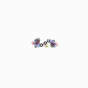 [2H]C([2H])([2H])C([2H])(C([2H])([2H])[2H])[C@]([2H])(NC(=O)OC)C(=O)N1CCC[C@H]1c1nc2ccc(-c3ccc(-c4ccc5nc([C@@H]6CCCN6C(=O)[C@@]([2H])(NC(=O)OC)C([2H])(C([2H])([2H])[2H])C([2H])([2H])[2H])[nH]c5c4)c(OC(F)(F)F)c3)cc2[nH]1